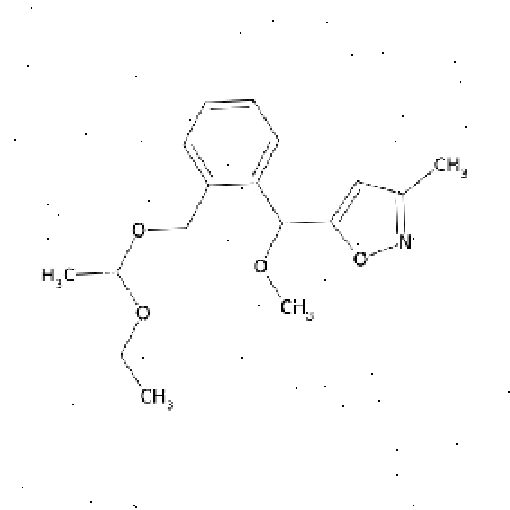 CCOC(C)OCc1ccccc1C(OC)c1cc(C)no1